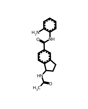 CC(=O)NC1CCc2cc(C(=O)Nc3ccccc3N)ccc21